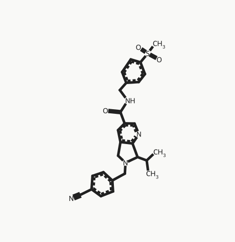 CC(C)C1c2ncc(C(=O)NCc3ccc(S(C)(=O)=O)cc3)cc2CN1Cc1ccc(C#N)cc1